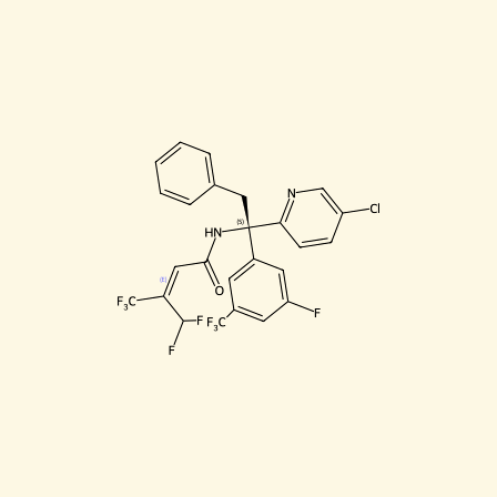 O=C(/C=C(\C(F)F)C(F)(F)F)N[C@@](Cc1ccccc1)(c1cc(F)cc(C(F)(F)F)c1)c1ccc(Cl)cn1